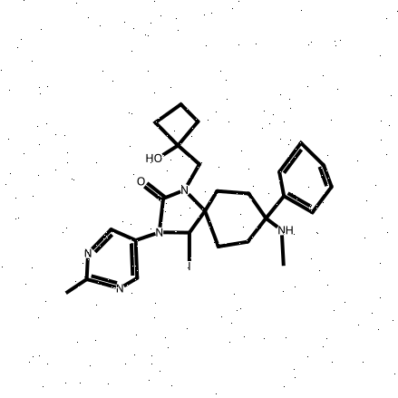 CNC1(c2ccccc2)CCC2(CC1)C(I)N(c1cnc(C)nc1)C(=O)N2CC1(O)CCC1